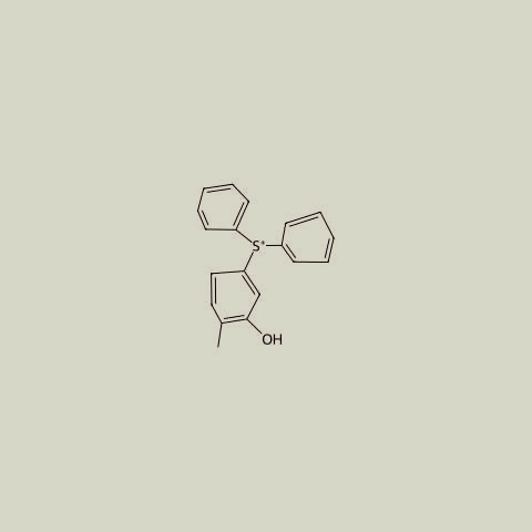 Cc1ccc([S+](c2ccccc2)c2ccccc2)cc1O